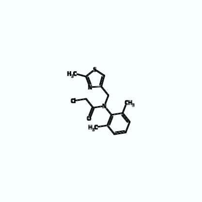 Cc1nc(CN(C(=O)CCl)c2c(C)cccc2C)cs1